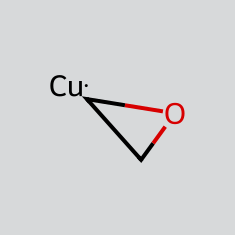 C1CO1.[Cu]